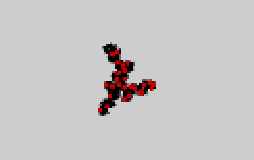 c1ccc2c(c1)oc1cc(-c3ccc4c(c3)c3ccccc3n4-c3nc(-c4ccc(-n5c6ccccc6c6cc(-c7ccc8c(c7)oc7ccccc78)ccc65)c5ccccc45)nc(-n4c5ccccc5c5cc(-c6ccc7c(c6)oc6ccccc67)ccc54)n3)ccc12